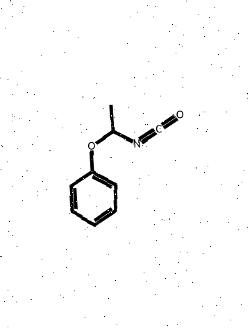 CC(N=C=O)Oc1ccccc1